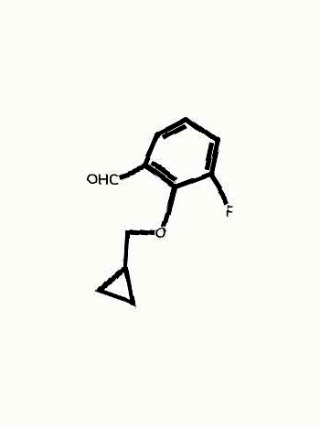 O=Cc1cccc(F)c1OCC1CC1